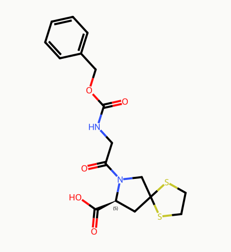 O=C(NCC(=O)N1CC2(C[C@H]1C(=O)O)SCCS2)OCc1ccccc1